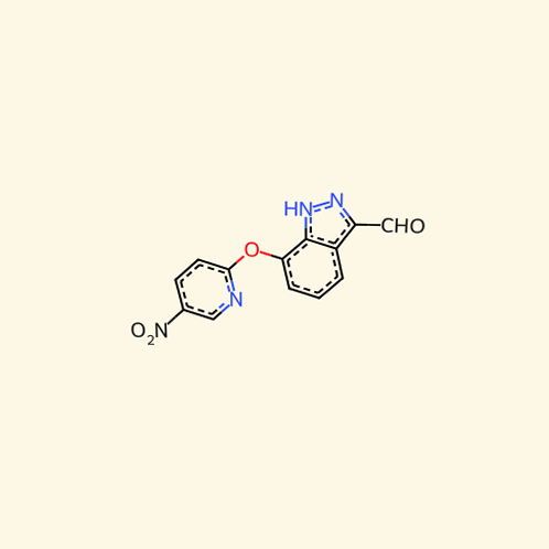 O=Cc1n[nH]c2c(Oc3ccc([N+](=O)[O-])cn3)cccc12